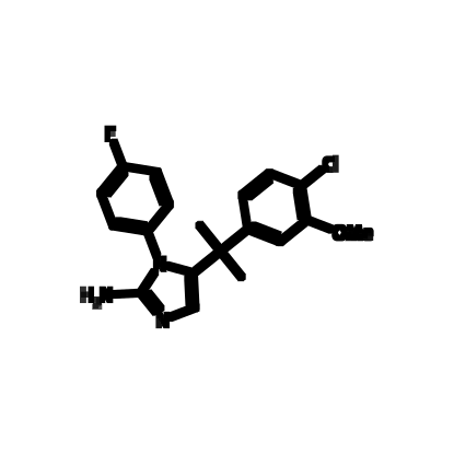 COc1cc(C(C)(C)c2cnc(N)n2-c2ccc(F)cc2)ccc1Cl